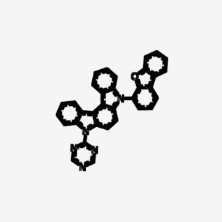 c1ccc2c(c1)oc1c(-n3c4ccccc4c4c5c6ccccc6n(-c6ncncn6)c5ccc43)cccc12